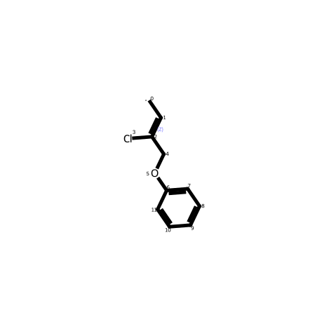 [CH2]/C=C(\Cl)COc1ccccc1